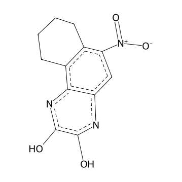 O=[N+]([O-])c1cc2nc(O)c(O)nc2c2c1CCCC2